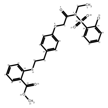 CCN(C(=O)COc1ccc(CCSc2ccccc2C(=O)OC)cc1)S(=O)(=O)c1ccccc1Cl